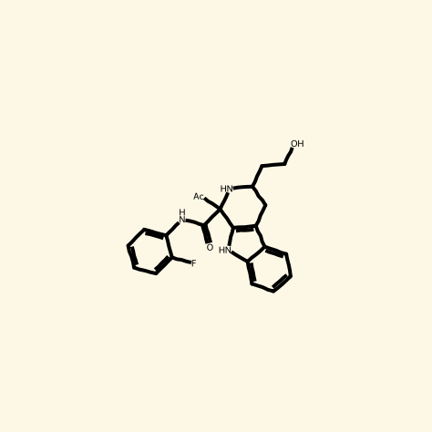 CC(=O)C1(C(=O)Nc2ccccc2F)NC(CCO)Cc2c1[nH]c1ccccc21